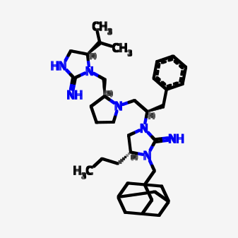 CCC[C@@H]1CN([C@H](Cc2ccccc2)CN2CCC[C@H]2CN2C(=N)NC[C@H]2C(C)C)C(=N)N1CC12CC3CC(CC(C3)C1)C2